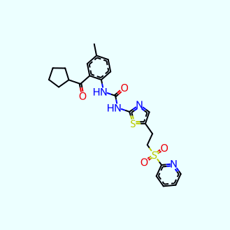 Cc1ccc(NC(=O)Nc2ncc(CCS(=O)(=O)c3ccccn3)s2)c(C(=O)C2CCCC2)c1